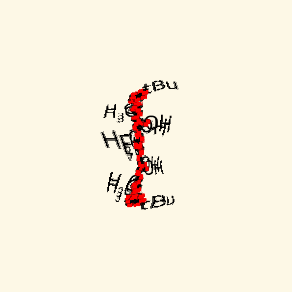 CCC1(C)c2cc(-c3ccc4c(c3)C(CO)(CCCO)c3cc(-c5ccc6c(c5)C(C)(C)c5cc(-c7ccc8ccc9cc(C(C)(C)C)cc%10ccc7c8c9%10)ccc5-6)ccc3-4)ccc2-c2ccc(-c3ccc4c(c3)C(CO)(CCCO)c3cc(-c5ccc6c(c5)C(C)(C)c5cc(-c7ccc8ccc9cc(C(C)(C)C)cc%10ccc7c8c9%10)ccc5-6)ccc3-4)cc21